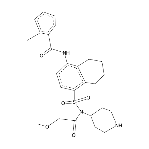 COCC(=O)N(C1CCNCC1)S(=O)(=O)c1ccc(NC(=O)c2ccccc2C)c2c1CCCC2